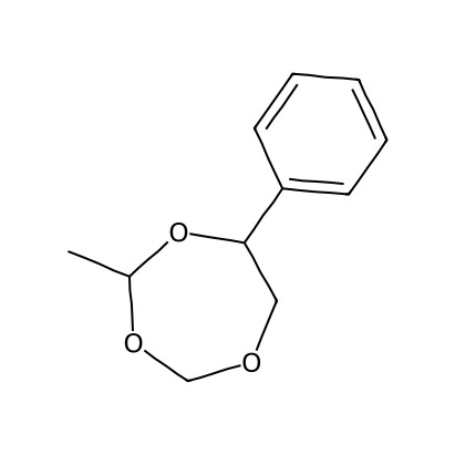 CC1OCOCC(c2ccccc2)O1